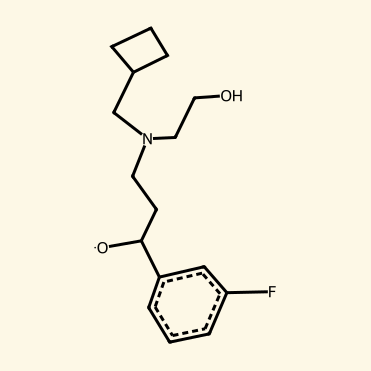 [O]C(CCN(CCO)CC1CCC1)c1cccc(F)c1